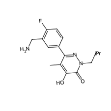 Cc1c(-c2ccc(F)c(CN)c2)nn(CC(C)C)c(=O)c1O